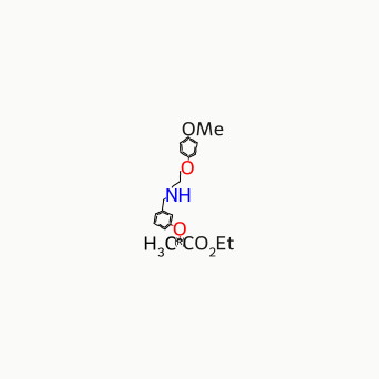 CCOC(=O)[C@@H](C)Oc1cccc(CNCCCOc2ccc(OC)cc2)c1